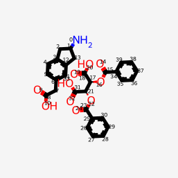 NC1Cc2ccc(CC(=O)O)cc2C1.O=C(O[C@H](C(=O)O)[C@H](OC(=O)c1ccccc1)C(=O)O)c1ccccc1